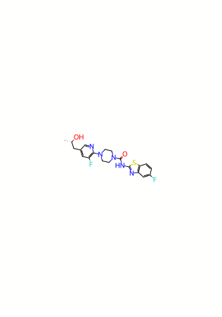 C[C@H](O)Cc1cnc(N2CCN(C(=O)Nc3nc4cc(F)ccc4s3)CC2)c(F)c1